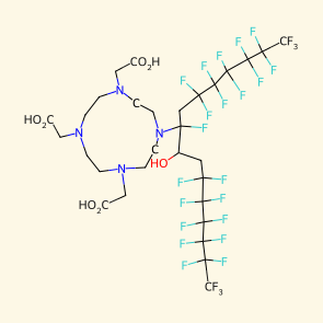 O=C(O)CN1CCN(CC(=O)O)CCN(C(F)(CC(F)(F)C(F)(F)C(F)(F)C(F)(F)C(F)(F)C(F)(F)F)C(O)CC(F)(F)C(F)(F)C(F)(F)C(F)(F)C(F)(F)C(F)(F)F)CCN(CC(=O)O)CC1